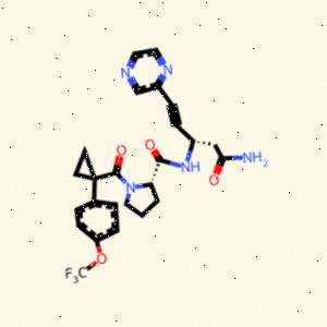 NC(=O)C[C@@H](C#Cc1cnccn1)NC(=O)[C@@H]1CCCN1C(=O)C1(c2ccc(OC(F)(F)F)cc2)CC1